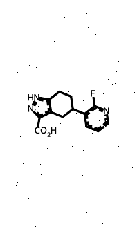 O=C(O)c1n[nH]c2c1CC(c1cccnc1F)CC2